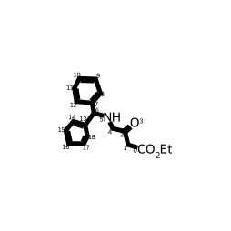 CCOC(=O)CC(=O)CNC(c1ccccc1)c1ccccc1